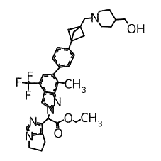 CCOC(=O)C(c1ncn2c1CCC2)n1cc2c(C(F)(F)F)cc(-c3ccc(C45CC(CN6CCC(CO)CC6)(C4)C5)cc3)c(C)c2n1